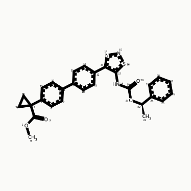 COC(=O)C1(c2ccc(-c3ccc(-c4nnsc4NC(=O)O[C@H](C)c4ccccc4)cc3)cc2)CC1